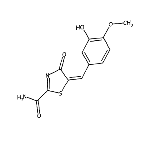 COc1ccc(C=C2SC(C(N)=O)=NC2=O)cc1O